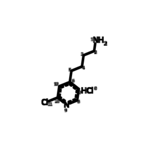 Cl.NCCCCc1ccnc(Cl)c1